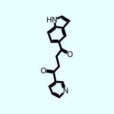 O=C(CCC(=O)c1ccc2[nH]ccc2c1)c1cccnc1